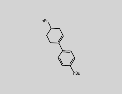 CCCCc1ccc(C2=CCC(CCC)CC2)cc1